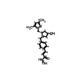 Cc1cc(C)n(C[C@H]2C[C@@H](O)CN2Cc2ccc(/C=C/C(=O)NO)cc2)n1